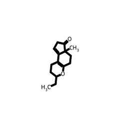 CCC1CCC2=C(CCC3(C)C(=O)CC=C23)O1